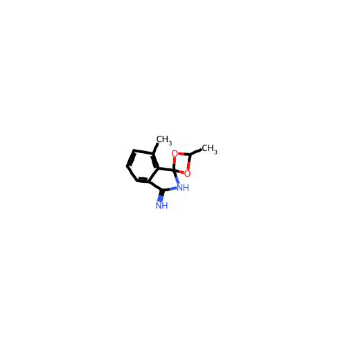 Cc1cccc2c1C1(NC2=N)OC(C)O1